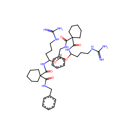 N=C(N)NCCCC(NC(=O)C1(C(=O)NCc2ccccc2)CCCCC1)OBOC(CCCNC(=N)N)NC(=O)C1(C(=O)NCc2ccccc2)CCCCC1